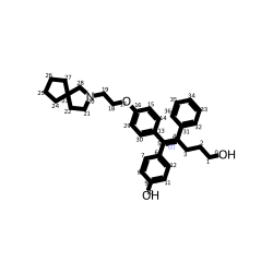 OCCC/C(=C(\c1ccc(O)cc1)c1ccc(OCCN2CCC3(CCCC3)C2)cc1)c1ccccc1